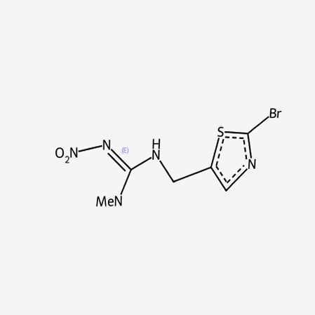 CN/C(=N\[N+](=O)[O-])NCc1cnc(Br)s1